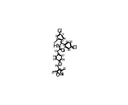 Cc1cc(Cl)ccc1[C@H](NC(=O)Cc1ccc(OCc2c(C)noc2C)cc1)c1ccc(Cl)cc1